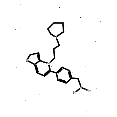 CCN(CC)Cc1ccc(C2=CC=C3SCC=C3N2CCCN2CCCCC2)cc1